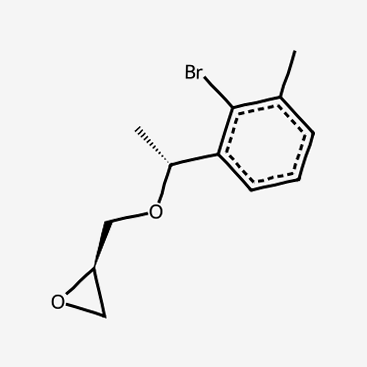 Cc1cccc([C@@H](C)OC[C@H]2CO2)c1Br